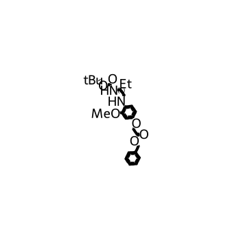 CC[C@@H](CNc1ccc(OCC(=O)OCc2ccccc2)cc1OC)NC(=O)OC(C)(C)C